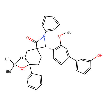 CCCCOc1cc(-c2cccc(O)c2)ccc1[C@H]1N(c2ccccc2)C(=O)C12CCC(O[Si](C)(C)C(C)(C)C)(c1ccccc1)CC2